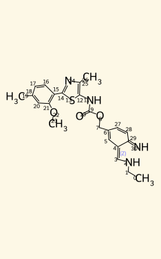 CCN/C=C1/C=C(COC(=O)Nc2sc(-c3ccc(C)cc3OC)nc2C)C=CC1=N